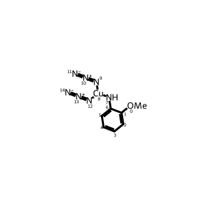 COc1ccccc1[NH][Cu]([N]=[N+]=[N-])[N]=[N+]=[N-]